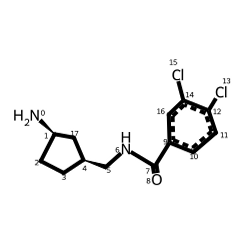 N[C@@H]1CC[C@H](CNC(=O)c2ccc(Cl)c(Cl)c2)C1